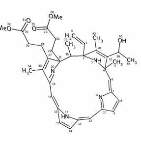 C=CC12NC(C)(C=C3C=CC(=N3)C=c3ccc([nH]3)=CC3=NC(CCC(=O)OC)(C(CCC(=O)OC)=C3C)C1C)C(C(C)O)=C2C